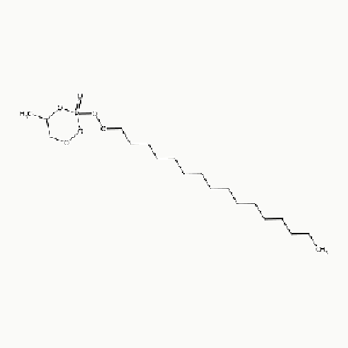 CCCCCCCCCCCCCCCCOOP1(=O)OOCC(C)O1